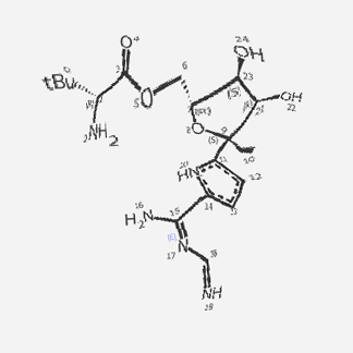 CC(C)(C)[C@@H](N)C(=O)OC[C@H]1O[C@@](C)(c2ccc(/C(N)=N\C=N)[nH]2)[C@H](O)[C@@H]1O